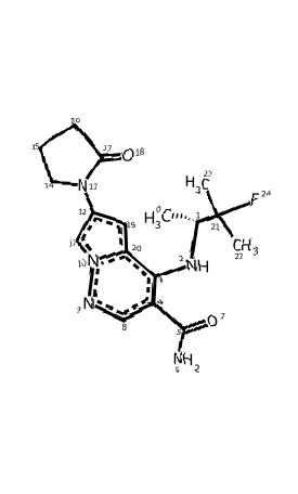 C[C@@H](Nc1c(C(N)=O)cnn2cc(N3CCCC3=O)cc12)C(C)(C)F